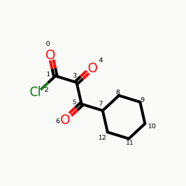 O=C(Cl)C(=O)C(=O)C1CCCCC1